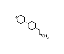 C=CC[C@H]1CC[C@H](C2CC[N]CC2)CC1